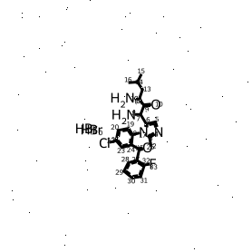 Br.Br.Cc1ncc(C(N)C(=O)[C@@H](N)CC(C)C)n1-c1ccc(Cl)cc1C(=O)c1ccccc1F